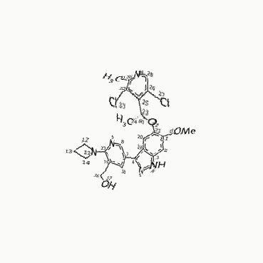 COc1cc2[nH]nc(-c3cnc(N4CCC4)c(CO)c3)c2cc1O[C@H](C)c1c(Cl)cnc(C)c1Cl